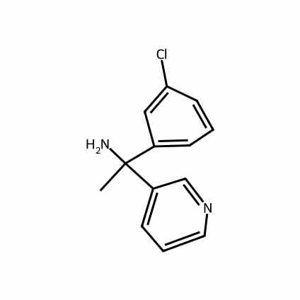 CC(N)(c1cccnc1)c1cccc(Cl)c1